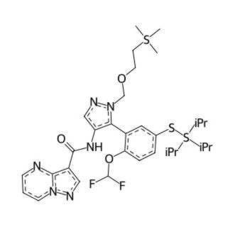 CC(C)S(Sc1ccc(OC(F)F)c(-c2c(NC(=O)c3cnn4cccnc34)cnn2COCCS(C)(C)C)c1)(C(C)C)C(C)C